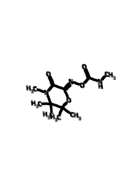 CNC(=O)ON=C1OC(C)(C)C(C)(C)N(C)C1=O